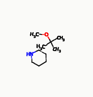 C1CCNCC1.COC(C)(C)C